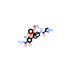 COc1cccc(OC)c1C12CC3CC(NC(=O)c4cc[nH]n4)(C1)C(C(=O)O)C(c1ccc(C(N)=O)c(Cl)c1)(C3)C2